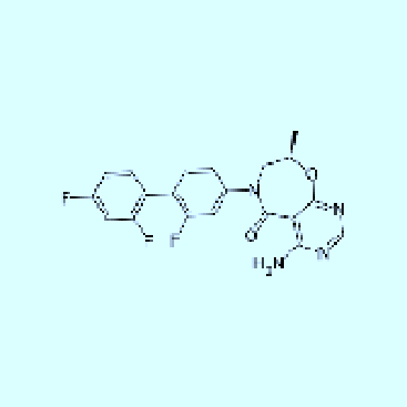 C[C@@H]1CN(c2ccc(-c3ccc(F)cc3F)c(F)c2)C(=O)c2c(N)ncnc2O1